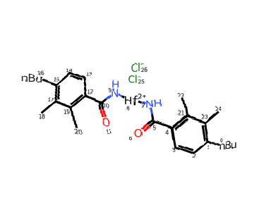 CCCCc1ccc(C(=O)[NH][Hf+2][NH]C(=O)c2ccc(CCCC)c(C)c2C)c(C)c1C.[Cl-].[Cl-]